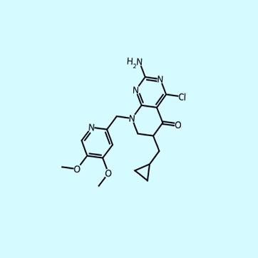 COc1cnc(CN2CC(CC3CC3)C(=O)c3c(Cl)nc(N)nc32)cc1OC